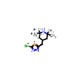 CC1(C)CC(Cc2nnc(Br)s2)CC(C)(C)N1